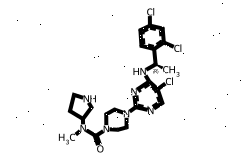 C[C@@H](Nc1nc(N2CCN(C(=O)N(C)C3CCNC3)CC2)ncc1Cl)c1ccc(Cl)cc1Cl